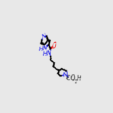 O=C(NCCCCC1CCN(C(=O)O)CC1)c1cc2cnccc2[nH]1